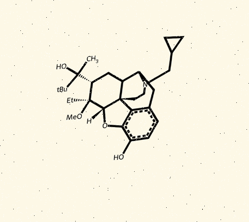 CC[C@@]1(OC)[C@H]2Oc3c(O)ccc4c3[C@]23CCN(CC2CC2)C(C4)C3C[C@H]1C(C)(O)C(C)(C)C